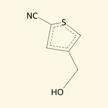 N#Cc1cc(CO)cs1